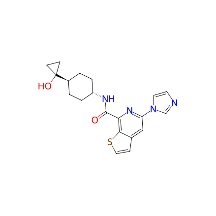 O=C(N[C@H]1CC[C@H](C2(O)CC2)CC1)c1nc(-n2ccnc2)cc2ccsc12